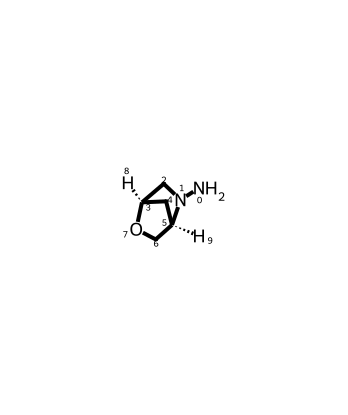 NN1C[C@H]2C[C@@H]1CO2